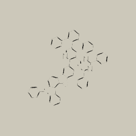 c1ccc(-c2nc(-c3ccccc3)nc(-c3cc(-c4c(-c5ccccc5)cccc4-c4ccccc4)cnc3-c3ccc4oc5c(ccc6c5c5ccccc5n6-c5ccccc5)c4c3)n2)cc1